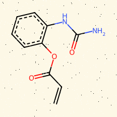 C=CC(=O)Oc1ccccc1NC(N)=O